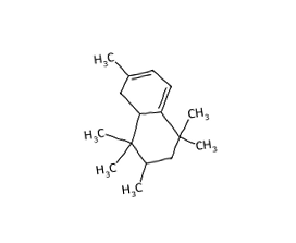 CC1=CC=C2C(C1)C(C)(C)C(C)CC2(C)C